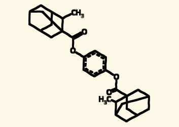 CC1C2CC3CC(C2)CC1(C(=O)Oc1ccc(OC(=O)C24CC5CC(CC(C5)C2C)C4)cc1)C3